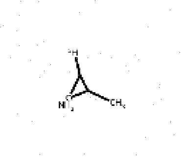 N.[2H]C1OC1C